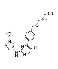 N#CCNCOCc1ccc(-c2nc(Nc3cnn(C4CC4)c3)ncc2Cl)cc1